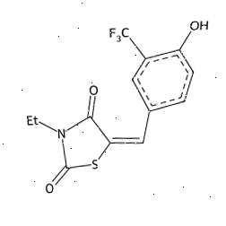 CCN1C(=O)SC(=Cc2ccc(O)c(C(F)(F)F)c2)C1=O